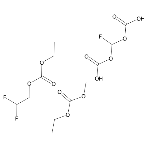 CCOC(=O)OC.CCOC(=O)OCC(F)F.O=C(O)OC(F)OC(=O)O